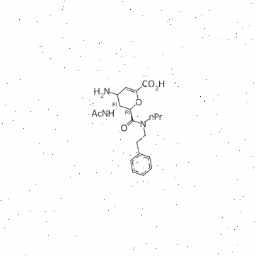 CCCN(CCc1ccccc1)C(=O)[C@@H]1OC(C(=O)O)=CC(N)[C@H]1NC(C)=O